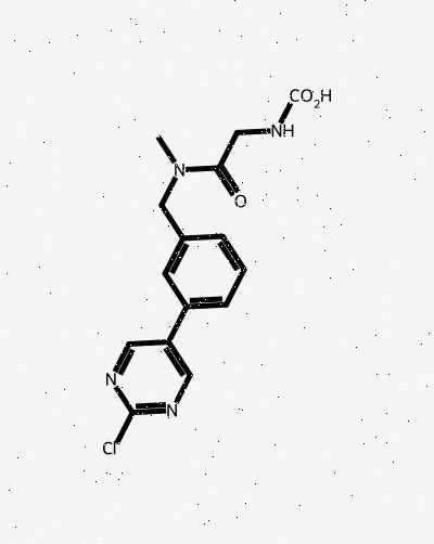 CN(Cc1cccc(-c2cnc(Cl)nc2)c1)C(=O)CNC(=O)O